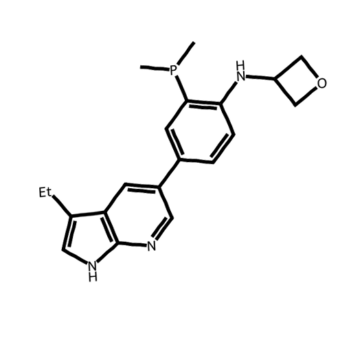 CCc1c[nH]c2ncc(-c3ccc(NC4COC4)c(P(C)C)c3)cc12